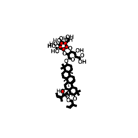 C/C=C(/C)C(=O)O[C@H]1[C@H](OC(=O)/C(C)=C\C)[C@@]2(CO)C(CC1(C)C)C1=CCC3[C@@]4(C)CC[C@H](O[C@@H]5OC(C(=O)O)[C@@H](O)[C@@H](O[C@@H]6O[C@@H](CO)[C@@H](O)C6O)C5O[C@@H]5OC(CO)[C@H](O)[C@@H](O)C5O)C(C)(C)C4CC[C@@]3(C)[C@]1(C)C[C@H]2O